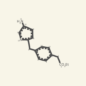 CCOC(=O)Cc1ccc(Cc2ccc(N)cn2)cc1